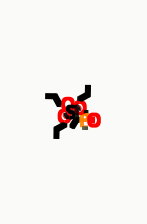 CCCO[Si](OCCC)(OCCC)C(C)P(C)(C)=O